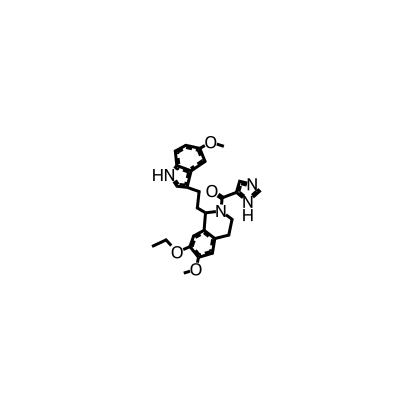 CCOc1cc2c(cc1OC)CCN(C(=O)c1cnc[nH]1)C2CCc1c[nH]c2ccc(OC)cc12